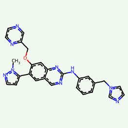 Cn1nccc1-c1cc2cnc(Nc3cccc(Cn4ccnc4)c3)nc2cc1OCc1cnccn1